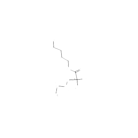 O=C(OCCCCBr)C(F)(F)SOOO